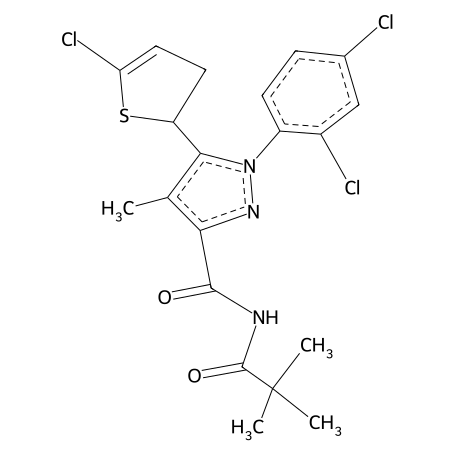 Cc1c(C(=O)NC(=O)C(C)(C)C)nn(-c2ccc(Cl)cc2Cl)c1C1CC=C(Cl)S1